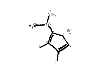 CC1=CC[C]([Ti+]([SiH3])[SiH3])=C1C.[Br-]